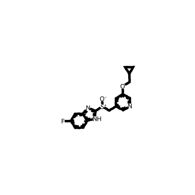 [O-][S+](Cc1cncc(OCC2CC2)c1)c1nc2cc(F)ccc2[nH]1